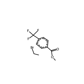 CCBr.COC(=O)c1ccc(C(F)(F)F)cc1